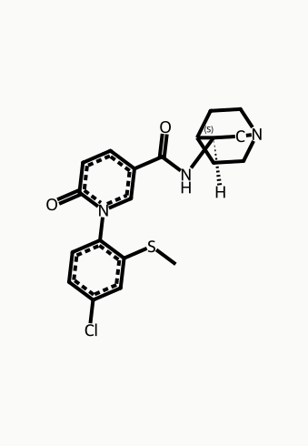 CSc1cc(Cl)ccc1-n1cc(C(=O)N[C@@H]2CN3CCC2CC3)ccc1=O